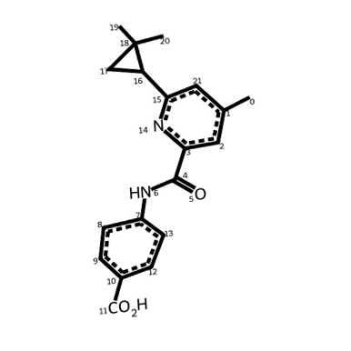 Cc1cc(C(=O)Nc2ccc(C(=O)O)cc2)nc(C2CC2(C)C)c1